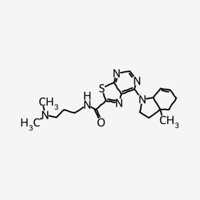 CN(C)CCCNC(=O)c1nc2c(N3CCC4(C)CCC=CC34)ncnc2s1